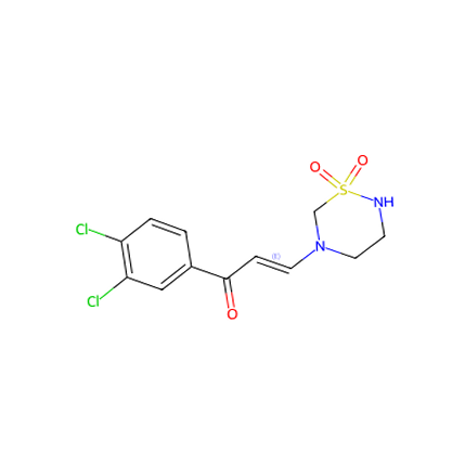 O=C(/C=C/N1CCNS(=O)(=O)C1)c1ccc(Cl)c(Cl)c1